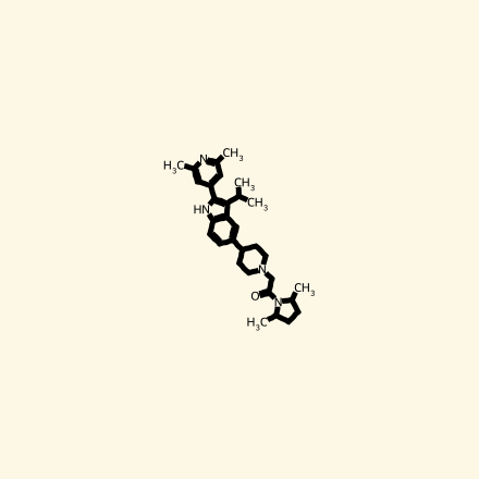 Cc1cc(-c2[nH]c3ccc(C4CCN(CC(=O)N5C(C)CCC5C)CC4)cc3c2C(C)C)cc(C)n1